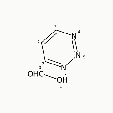 O=CO.c1cnnnc1